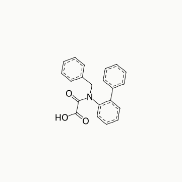 O=C(O)C(=O)N(Cc1ccccc1)c1ccccc1-c1ccccc1